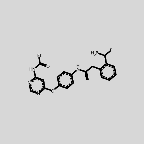 C=C(Cc1ccccc1C(F)P)Nc1ccc(Oc2cc(NC(=O)CC)ncn2)cc1